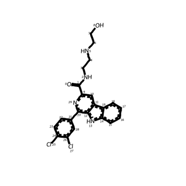 O=C(NCCNCCO)c1cc2c([nH]c3ccccc32)c(-c2ccc(Cl)c(Cl)c2)n1